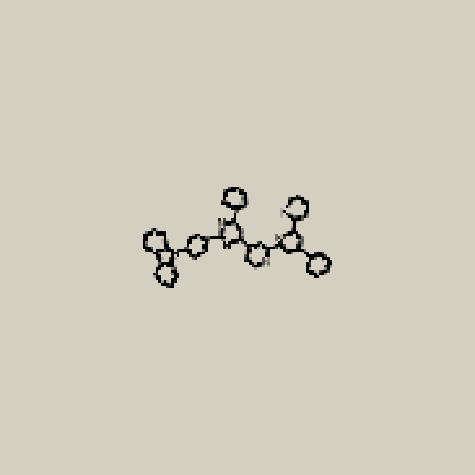 c1ccc(-c2cc(-c3ccccn3)nc(-c3cc(-c4cc(-c5ccccc5)nc(-c5ccc(-n6c7ccccc7c7ccccc76)cc5)n4)ccn3)c2)cc1